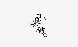 CCOC(=O)c1nc(I)oc1CCNC(=O)OCc1ccccc1